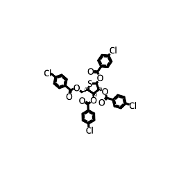 O=C(OC[C@H]1SC(OC(=O)c2ccc(Cl)cc2)[C@H](OC(=O)c2ccc(Cl)cc2)[C@H]1OC(=O)c1ccc(Cl)cc1)c1ccc(Cl)cc1